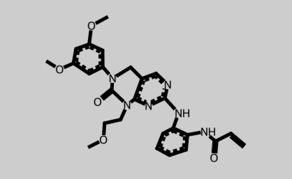 C=CC(=O)Nc1ccccc1Nc1ncc2c(n1)N(CCOC)C(=O)N(c1cc(OC)cc(OC)c1)C2